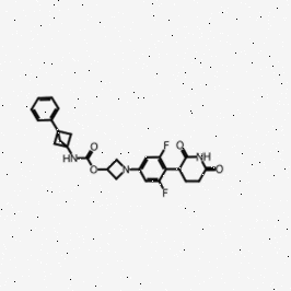 O=C1CCC(c2c(F)cc(N3CC(OC(=O)NC45CC(c6ccccc6)(C4)C5)C3)cc2F)C(=O)N1